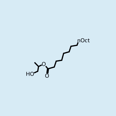 CCCCCCCCCCCCCCCC(=O)OC(C)CO